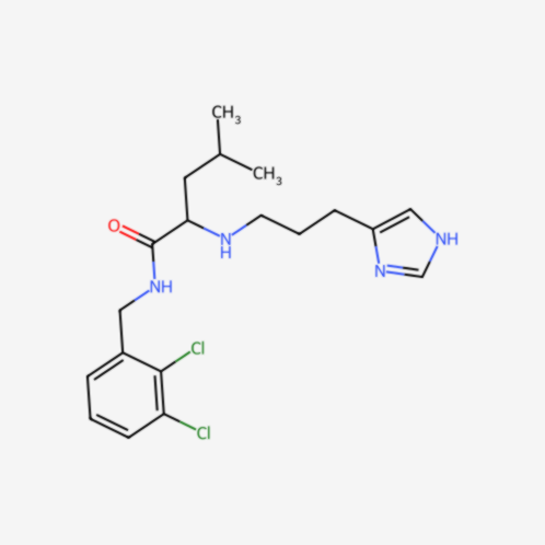 CC(C)CC(NCCCc1c[nH]cn1)C(=O)NCc1cccc(Cl)c1Cl